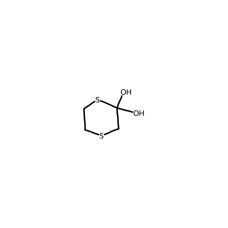 OC1(O)CSCCS1